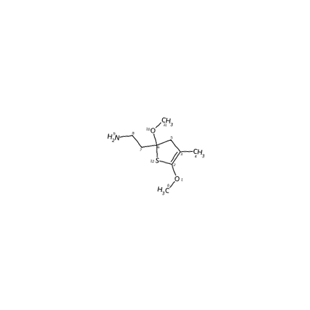 COC1=C(C)CC(CCN)(OC)S1